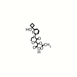 CC(=O)OC(C(=O)O)C1OCCN(c2cccc(C3(O)CCC3)n2)C1=O